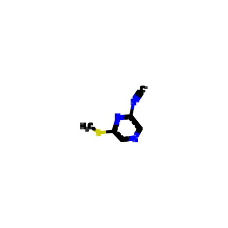 [C-]#[N+]c1cncc(SC)n1